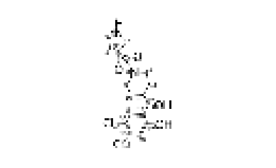 O=S(=O)([C@@H]1CCNC1)N1CCC([C@H](O)c2cc(Cl)c(Cl)cc2O)CC1